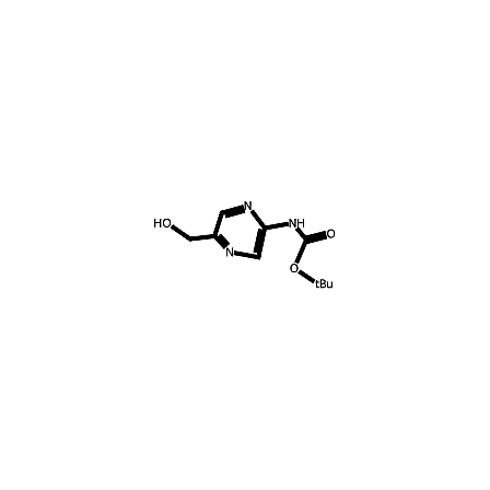 CC(C)(C)OC(=O)Nc1cnc(CO)cn1